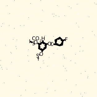 O=C(O)c1c(OCc2ccc(F)cc2)cc(OSI)cc1OSI